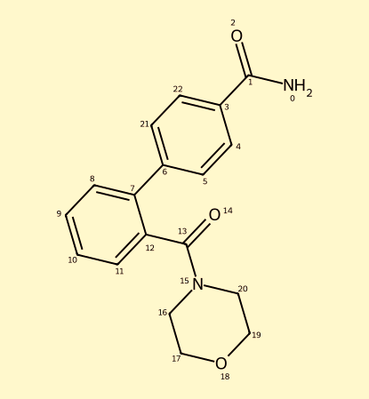 NC(=O)c1ccc(-c2ccccc2C(=O)N2CCOCC2)cc1